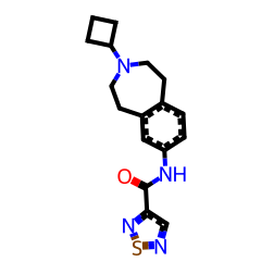 O=C(Nc1ccc2c(c1)CCN(C1CCC1)CC2)c1cnsn1